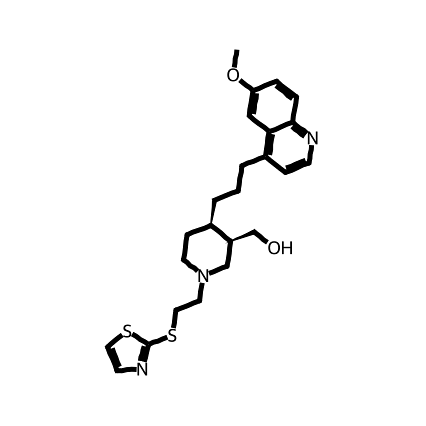 COc1ccc2nccc(CCC[C@@H]3CCN(CCSc4nccs4)C[C@@H]3CO)c2c1